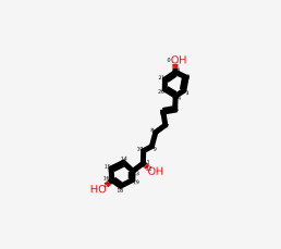 Oc1ccc(C=CCCCCC(O)c2ccc(O)cc2)cc1